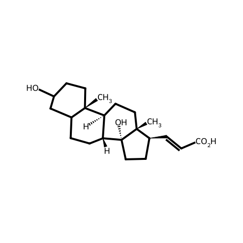 C[C@]12CCC(O)CC1CC[C@@H]1[C@@H]2CC[C@]2(C)[C@@H](/C=C/C(=O)O)CC[C@@]12O